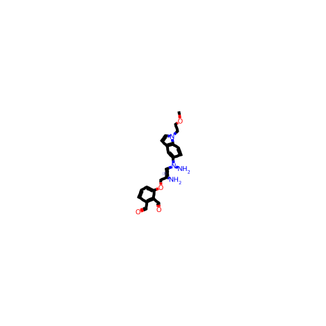 COCCn1ccc2cc(N(N)/C=C(\N)COc3cccc(C=O)c3C=O)ccc21